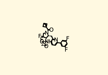 CS(=O)(=O)N[C@@H]1[C@H](Cc2cccc(-c3cc(F)cc(F)c3)n2)N(C(=O)C23CC(C2)C3)CC1(F)F